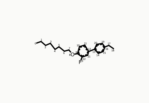 CCCCCCCCOc1ccc(-c2ccc(CC)cc2)cc1F